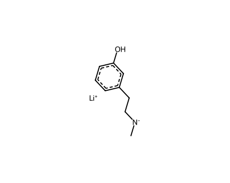 C[N-]CCc1cccc(O)c1.[Li+]